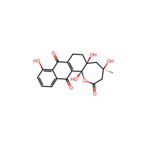 C[C@]1(O)CC(=O)O[C@]2(O)C3=C(CC[C@]2(O)C1)C(=O)c1c(O)cccc1C3=O